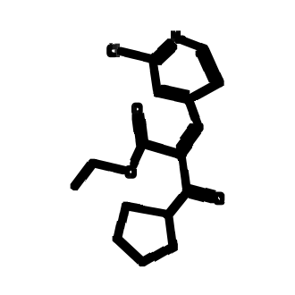 CCOC(=O)C(=Cc1ccnc(Cl)c1)C(=O)C1CCCC1